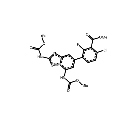 COC(=O)c1c(Cl)ccc(-c2cc(NC(=O)OC(C)(C)C)n3nc(NC(=O)OC(C)(C)C)nc3c2)c1F